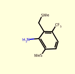 CSCc1c(C(F)(F)F)ccc(SC)c1N